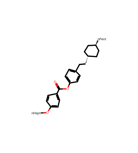 CCCCCCCOc1ccc(C(=O)Oc2ccc(CC[C@H]3CC[C@H](CCCCC)CC3)cc2)cc1